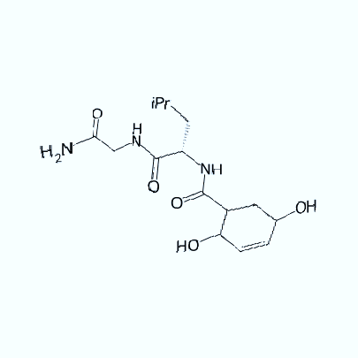 CC(C)C[C@H](NC(=O)C1CC(O)C=CC1O)C(=O)NCC(N)=O